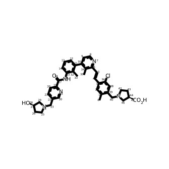 Cc1cc(/C=C/c2nccc(-c3cccc(NC(=O)c4ccc(CN5CC[C@@H](O)C5)cn4)c3C)c2C)c(Cl)cc1CN1CC[C@@H](C(=O)O)C1